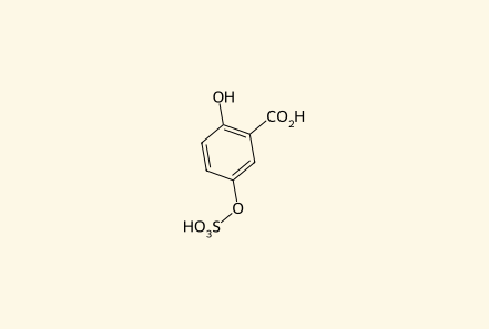 O=C(O)c1cc(OS(=O)(=O)O)ccc1O